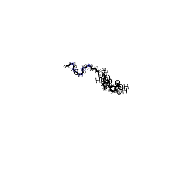 CC/C=C\C/C=C\C/C=C\C/C=C\C/C=C\CCCCO[C@H](CC)C(=O)NC1CC(C)N(c2ccc(O)c(C(=O)O)c2)C1=O